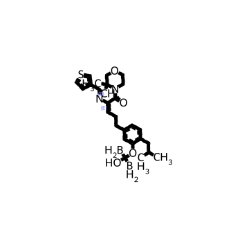 BC(B)(O)Oc1cc(CC/C=C(/N=C/c2ccsc2)C(=O)N2CCOCC2(C)C)ccc1CC(C)C